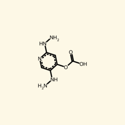 NNc1cc(OC(=O)O)c(NN)cn1